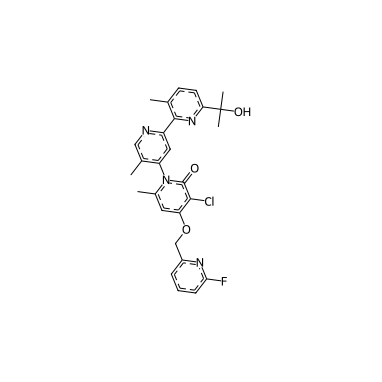 Cc1cnc(-c2nc(C(C)(C)O)ccc2C)cc1-n1c(C)cc(OCc2cccc(F)n2)c(Cl)c1=O